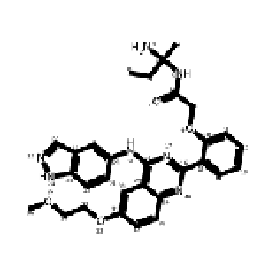 CCC(C)(N)NC(=O)COc1ccccc1-c1nc(Nc2ccc3[nH]ncc3c2)c2cc(OCCOC)ccc2n1